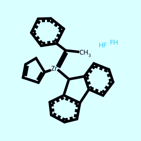 C/[C](c1ccccc1)=[Zr](/[C]1=CC=CC1)[CH]1c2ccccc2-c2ccccc21.F.F